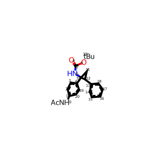 CC(=O)Nc1ccc(C2(NC(=O)OC(C)(C)C)CC2c2ccccc2)cc1